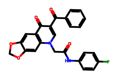 O=C(Cn1cc(C(=O)c2ccccc2)c(=O)c2cc3c(cc21)OCO3)Nc1ccc(F)cc1